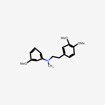 COc1cccc(N(C)CCc2ccc(OC)c(OC)c2)c1